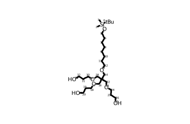 CC(C)(C)[Si](C)(C)OCCCCCCCCOCC(COCCCO)(COCCCO)COCCCO